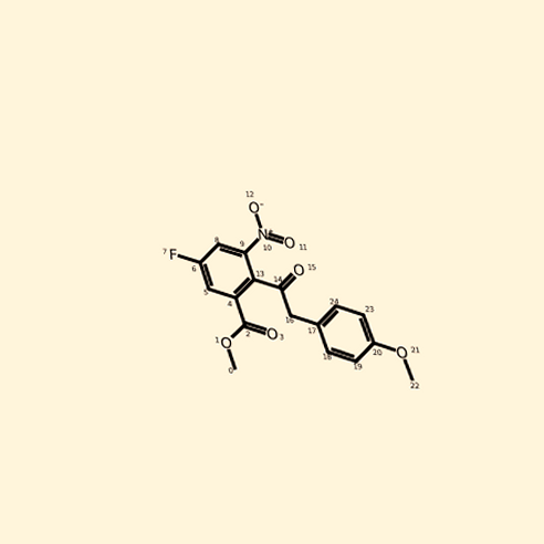 COC(=O)c1cc(F)cc([N+](=O)[O-])c1C(=O)Cc1ccc(OC)cc1